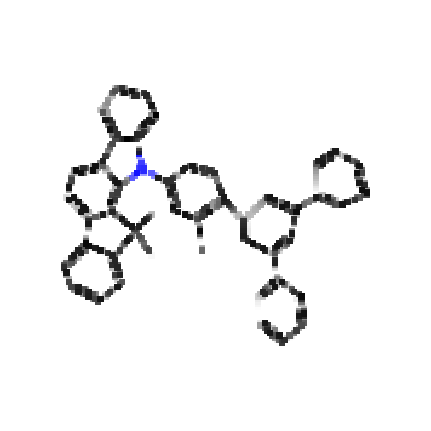 Cc1cc(-n2c3ccccc3c3ccc4c(c32)C(C)(C)c2ccccc2-4)ccc1-c1cc(-c2ccccc2)cc(-c2ccccc2)c1